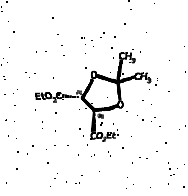 CCOC(=O)[C@@H]1OC(C)(C)O[C@H]1C(=O)OCC